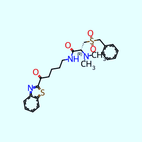 CN(C)[C@@H](CS(=O)(=O)Cc1ccccc1)C(=O)NCCCCC(=O)c1nc2ccccc2s1